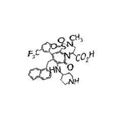 CN1CC(C(=O)O)n2c(c(-c3cccc(C(F)(F)F)c3)c(Cc3cccc4ccccc34)c(NC3CCNCC3)c2=O)S1(=O)=O